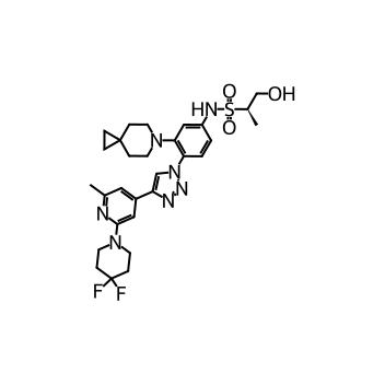 Cc1cc(-c2cn(-c3ccc(NS(=O)(=O)[C@H](C)CO)cc3N3CCC4(CC3)CC4)nn2)cc(N2CCC(F)(F)CC2)n1